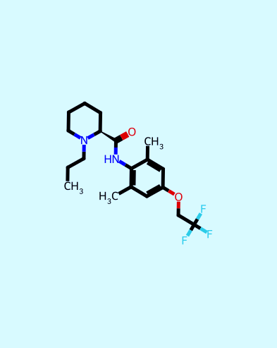 CCCN1CCCC[C@H]1C(=O)Nc1c(C)cc(OCC(F)(F)F)cc1C